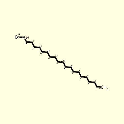 CCCCCCCCCCCCCCCCCCC[CH2][AlH][Br]